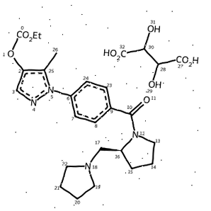 CCOC(=O)Oc1cnn(-c2ccc(C(=O)N3CCC[C@H]3CN3CCCC3)cc2)c1C.O=C(O)C(O)C(O)C(=O)O